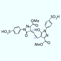 COC(=O)C1=NN(c2ccc(S(=O)(=O)O)cc2)C(=O)/C1=C\C=C/c1c(C(=O)OC)nn(-c2ccc(S(=O)(=O)O)cc2)c1O